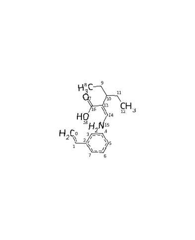 C=Cc1ccccc1.CCC(CC)C(=CN)C(=O)O